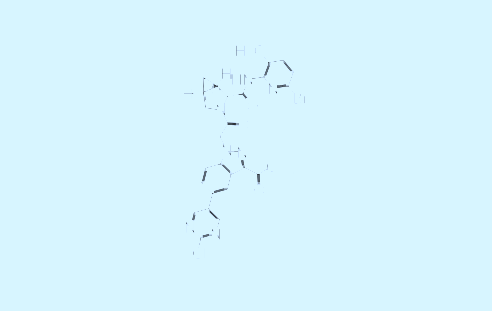 CC(=O)c1nn(CC(=O)N2C[C@H]3C[C@H]3[C@H]2C(=O)Nc2nc(Br)ccc2C)c2ccc(-c3cnc(C)nc3)cc12